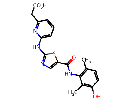 Cc1ccc(O)c(C)c1NC(=O)c1cnc(Nc2cccc(CC(=O)O)n2)s1